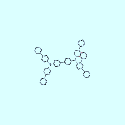 c1ccc(-c2ccc(C(c3ccc(-c4ccc(N(c5ccc(-c6ccccc6)cc5)c5ccc(-c6ccccc6)cc5)cc4)cc3)c3ccc(-c4ccccc4)cc3-c3ccccc3)cc2)cc1